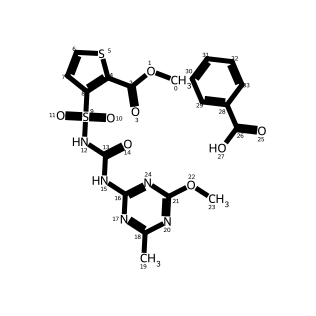 COC(=O)c1sccc1S(=O)(=O)NC(=O)Nc1nc(C)nc(OC)n1.O=C(O)c1ccccc1